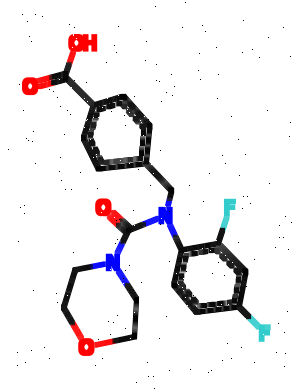 O=C(O)c1ccc(CN(C(=O)N2CCOCC2)c2ccc(F)cc2F)cc1